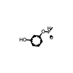 C[PH](=O)Oc1cccc(O)c1